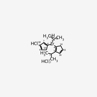 CC(C)C1=[C]([Zr]([C]2=CC=CC2)[SiH](C)C)CC=C1.Cl.Cl